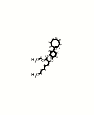 CCCCCCC(Oc1ccc(/C2=C/CCCCCC2)cc1)C(=O)OCC